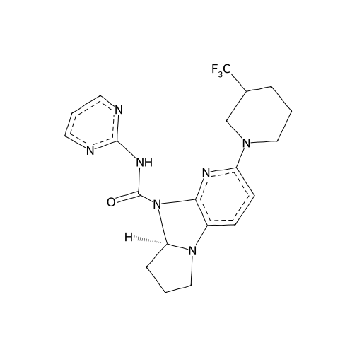 O=C(Nc1ncccn1)N1c2nc(N3CCCC(C(F)(F)F)C3)ccc2N2CCC[C@H]21